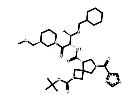 COC[C@H]1CCCN(C(=O)[C@@H](NC(=O)[C@@H]2CN(C(=O)c3cncs3)CC23CN(C(=O)OC(C)(C)C)C3)[C@@H](C)OCC2CCCCC2)C1